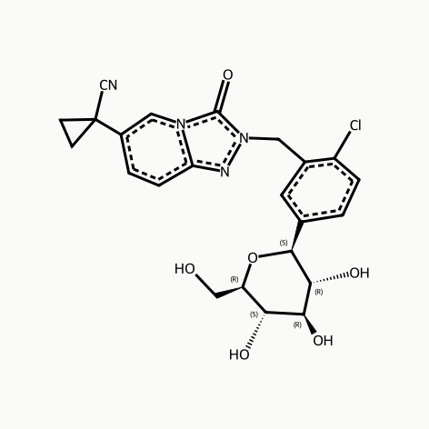 N#CC1(c2ccc3nn(Cc4cc([C@@H]5O[C@H](CO)[C@@H](O)[C@H](O)[C@H]5O)ccc4Cl)c(=O)n3c2)CC1